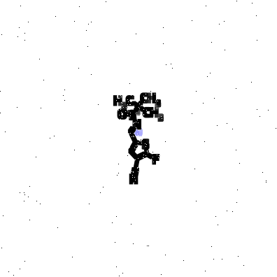 CC(C)(C)[S+]([O-])/N=C/c1cc(C#N)c(F)s1